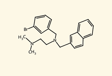 CN(C)CCN(Cc1cccc(Br)c1)Cc1ccc2ccccc2c1